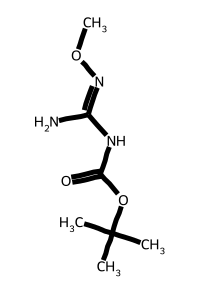 CO/N=C(\N)NC(=O)OC(C)(C)C